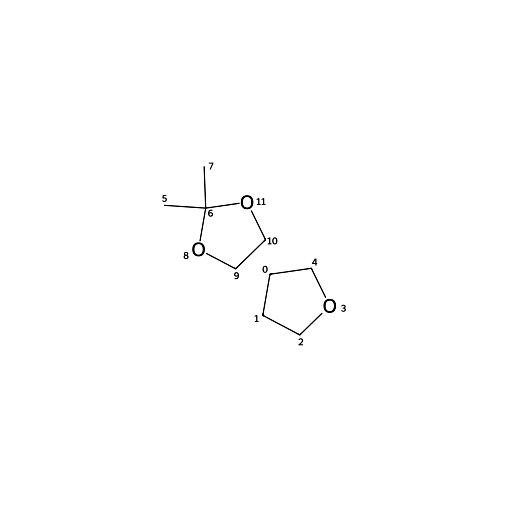 C1CCOC1.CC1(C)OCCO1